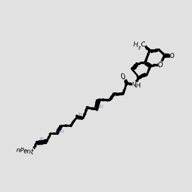 CCCCC/C=C/C/C=C/C/C=C/C/C=C/CCCC(=O)Nc1ccc2c(C)cc(=O)oc2c1